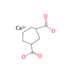 O=C([O-])C1CCCC(C(=O)[O-])C1.[Ca+2]